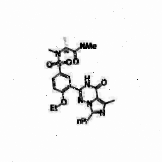 CCCc1nc(C)c2c(=O)[nH]c(-c3cc(S(=O)(=O)N(C)[C@H](C)C(=O)NC)ccc3OCC)nn12